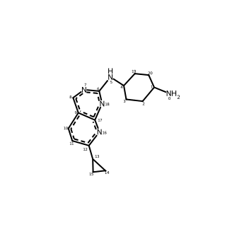 NC1CCC(Nc2ncc3ccc(C4CC4)nc3n2)CC1